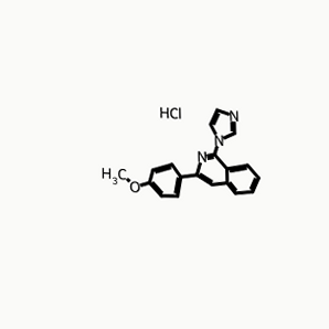 COc1ccc(-c2cc3ccccc3c(-n3ccnc3)n2)cc1.Cl